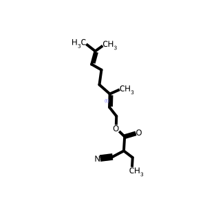 CCC(C#N)C(=O)OC/C=C(\C)CCC=C(C)C